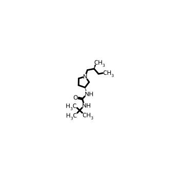 CC[C@H](C)CN1CC[C@@H](NC(=O)NC(C)(C)C)C1